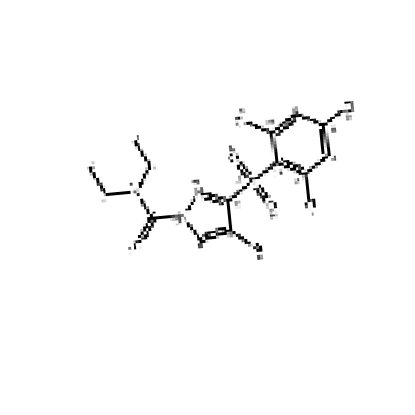 CCN(CC)C(=O)n1cc(Br)c(S(=O)(=O)c2c(Cl)cc(Cl)cc2Cl)n1